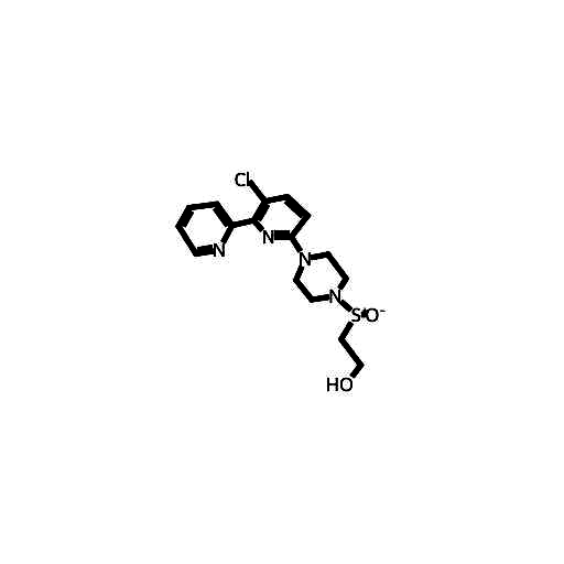 [O-][S+](CCO)N1CCN(c2ccc(Cl)c(-c3ccccn3)n2)CC1